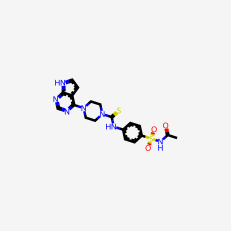 CC(=O)NS(=O)(=O)c1ccc(NC(=S)N2CCN(c3ncnc4[nH]ccc34)CC2)cc1